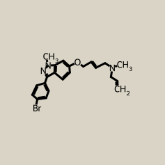 C=CCN(C)CC=CCOc1ccc2c(-c3ccc(Br)cc3)nn(C)c2c1